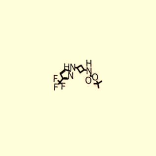 CC(C)(C)OC(=O)NC1CC(Nc2ccc(C(F)(F)F)cn2)C1